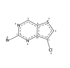 Clc1csc2cnc(Br)nc12